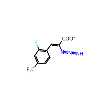 N=[N+]=NC(=Cc1ccc(C(F)(F)F)cc1F)C(=O)[O-]